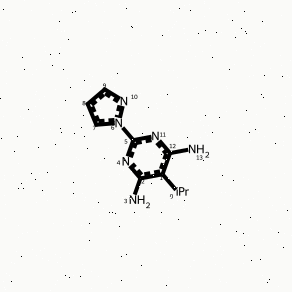 CC(C)c1c(N)nc(-n2cccn2)nc1N